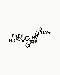 CCN(CC)C(C)CNC(=O)c1ccnc(-c2c(-c3cccs3)nn3ccc(N4CCC(C(=O)NC)C4)nc23)c1